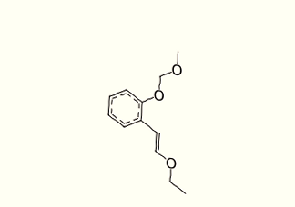 CCOC=Cc1ccccc1OCOC